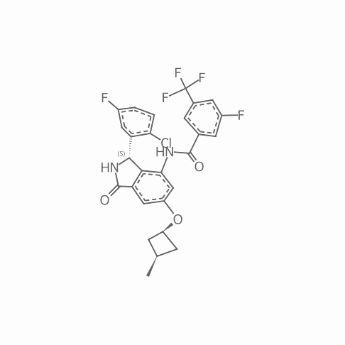 C[C@H]1C[C@@H](Oc2cc(NC(=O)c3cc(F)cc(C(F)(F)F)c3)c3c(c2)C(=O)N[C@@H]3c2cc(F)ccc2Cl)C1